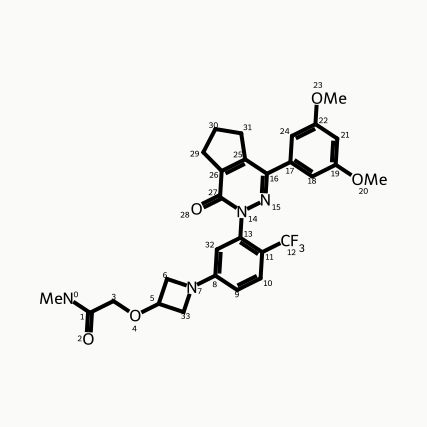 CNC(=O)COC1CN(c2ccc(C(F)(F)F)c(-n3nc(-c4cc(OC)cc(OC)c4)c4c(c3=O)CCC4)c2)C1